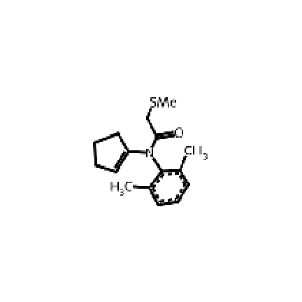 CSCC(=O)N(C1=CCCC1)c1c(C)cccc1C